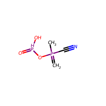 C=P(C)(C#N)O[PH](=O)O